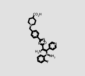 N/C(=C(/c1ccncc1)N(N)c1ccccc1F)c1nc(-c2ccc(CN3CCC(C(=O)O)CC3)cc2)no1